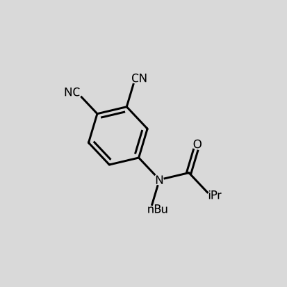 CCCCN(C(=O)C(C)C)c1ccc(C#N)c(C#N)c1